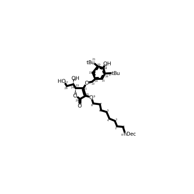 CCCCCCCCCCCCCCCCCCOC1=C(OCc2cc(C(C)(C)C)c(O)c(C(C)(C)C)c2)[C@@H]([C@@H](O)CO)OC1=O